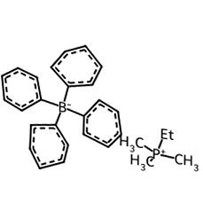 CC[P+](C)(C)C.c1ccc([B-](c2ccccc2)(c2ccccc2)c2ccccc2)cc1